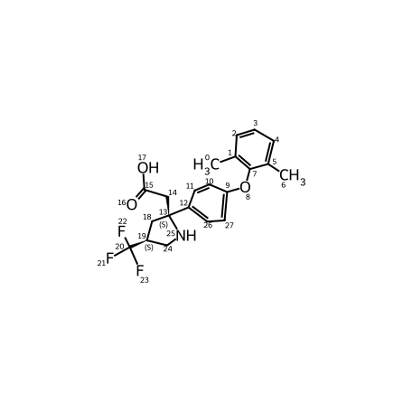 Cc1cccc(C)c1Oc1ccc([C@@]2(CC(=O)O)C[C@H](C(F)(F)F)CN2)cc1